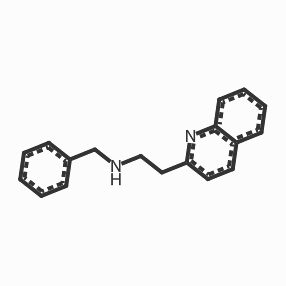 c1ccc(CNCCc2ccc3ccccc3n2)cc1